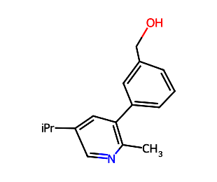 Cc1ncc(C(C)C)cc1-c1cccc(CO)c1